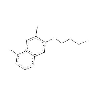 Cc1cc2c(Cl)ncnc2cc1OCCCCl